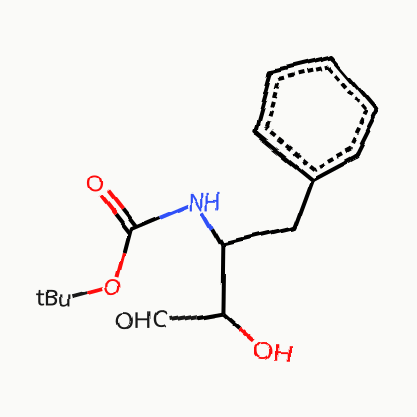 CC(C)(C)OC(=O)NC(Cc1ccccc1)C(O)C=O